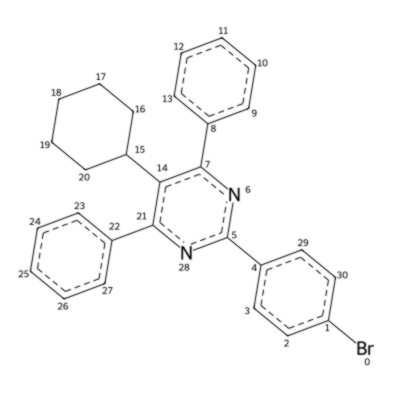 Brc1ccc(-c2nc(-c3ccccc3)c(C3CCCCC3)c(-c3ccccc3)n2)cc1